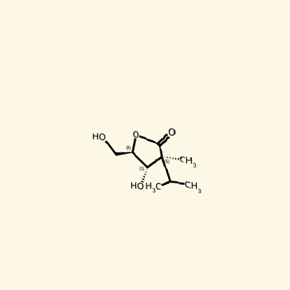 CC(C)[C@]1(C)C(=O)O[C@H](CO)[C@H]1O